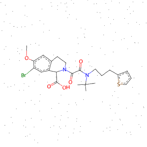 COc1cc2c(cc1Br)C(C(=O)O)N(C(=O)C(=O)N(CCCc1cccs1)C(C)(C)C)CC2